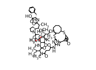 CC[C@H](C)C([C@@H](CC(=O)N1CCC[C@H]1[C@H](OC)[C@@H](C)C(=O)N[C@@H](Cc1ccccc1)C(=O)O)OC)N(C)C(=O)[C@@H](NC(=O)C(C(C)C)N(C)C(=O)CCC(=O)Nc1nc2nc(n1)C1C(=O)CC(SC3CCCCCC(C3)S2)C1=O)C(C)C